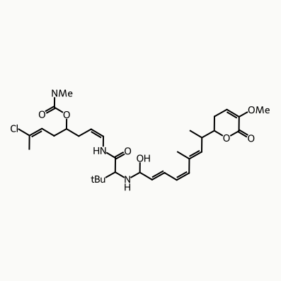 CNC(=O)OC(C/C=C\NC(=O)C(NC(O)/C=C/C=C\C(C)=C\C(C)C1CC=C(OC)C(=O)O1)C(C)(C)C)C/C=C(\C)Cl